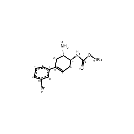 CC(C)(C)OC(=O)N[C@H]1CC=C(c2cccc(Br)c2)C[C@@H]1N